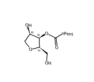 CCCCCC(=O)O[C@@H]1[C@H](O)CO[C@@H]1CO